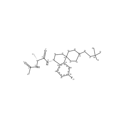 CC(=O)N[C@H](C)C(=O)N[C@@H]1CCC2(CCN(CCC(C)(C)C)CC2)c2cc(F)ccc21